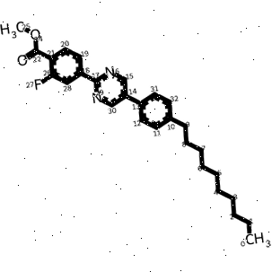 CCCCCCCCCCc1ccc(-c2cnc(-c3ccc(C(=O)OC)c(F)c3)nc2)cc1